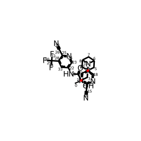 C[C@](O)(CN1CC2CC(C1)N2c1cnc(C#N)nc1)C(=O)Nc1cnc(C#N)c(C(F)(F)F)c1